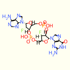 Nc1nc2c(ncn2[C@@H]2O[C@@H]3CO[P@](=O)(O)O[C@H]4[C@H](F)[C@H](n5cnc6c(N)ncnc65)O[C@@H]4CO[P@](=O)(O)O[C@@H]2[C@@H]3F)c(=O)[nH]1